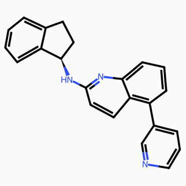 c1cncc(-c2cccc3nc(N[C@@H]4CCc5ccccc54)ccc23)c1